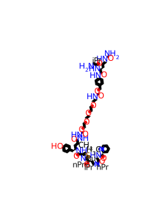 CCCO[C@H](C[C@H](C(C)C)N(CCC)C(=O)[C@@H](NC(=O)[C@H]1CCCCN1C)[C@@H](C)CC)c1nc(C(=O)N[C@@H](Cc2ccc(O)cc2)C[C@H](C)C(=O)NNC(=O)OCCOCCOCCOCCNC(=O)OCc2ccc(NC(=O)[C@H](CCCNC(N)=O)NC(=O)[C@@H](N)C(C)C)cc2)cs1